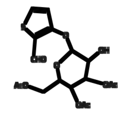 CC(=O)OCC1OC(Oc2ccsc2C=O)C(O)C(OC(C)=O)C1OC(C)=O